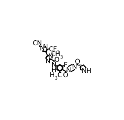 Cc1cc(NC(=O)c2ncc(-c3cn(CC#N)nc3C(F)(F)F)n2C)cc(F)c1C(=O)N1CCN(C(=O)[C@H]2CCNC2)CC1